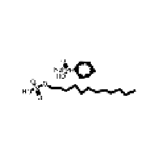 CCCCCCCCCCCCOS(=O)(=O)O.O=[PH](O)c1ccccc1.[NaH]